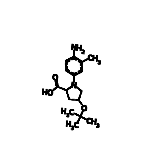 Cc1cc(N2CC(OC(C)(C)C)CC2C(=O)O)ccc1N